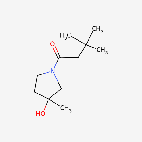 CC(C)(C)CC(=O)N1CCC(C)(O)C1